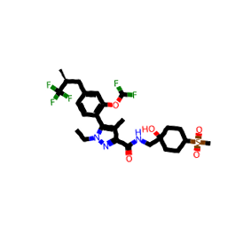 CCn1nc(C(=O)NCC2(O)CCC(S(C)(=O)=O)CC2)c(C)c1-c1ccc(C[C@H](C)C(F)(F)F)cc1OC(F)F